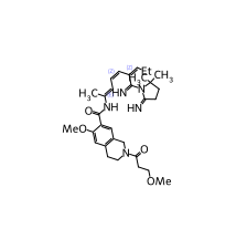 CC/C=C(/C=C\C=C(/C)NC(=O)c1cc2c(cc1OC)CCN(C(=O)CCOC)C2)C(=N)N1C(=N)CCC1(C)C